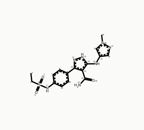 CCS(=O)(=O)Nc1ccc(-c2n[nH]c(Nc3cnn(C)c3)c2C(N)=O)cc1